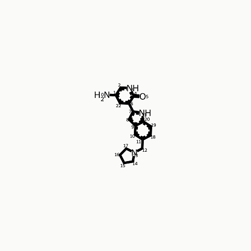 Nc1c[nH]c(=O)c(-c2cc3cc(CN4CCCC4)ccc3[nH]2)c1